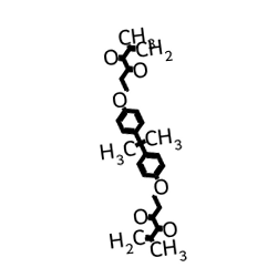 C=C(C)C(=O)C(=O)CCOc1ccc(C(C)(C)c2ccc(OCCC(=O)C(=O)C(=C)C)cc2)cc1